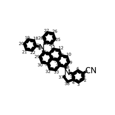 N#Cc1ccc2c(c1)N(c1ccc3ccc4c(N(c5ccccc5)c5ccccc5)ccc5ccc1c3c54)CC2